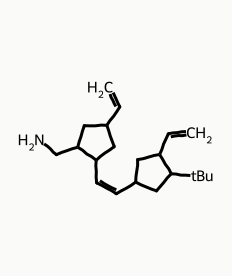 C=CC1CC(/C=C\C2CC(C=C)C(C(C)(C)C)C2)C(CN)C1